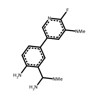 CNc1cc(-c2ccc(N)c(C(N)NC)c2)cnc1F